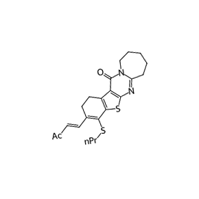 CCCSC1=C(/C=C/C(C)=O)CCc2c1sc1nc3n(c(=O)c21)CCCCC3